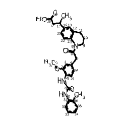 COc1cc(CC(=O)N2CCCc3cc(C(C)CC(=O)O)ccc32)ccc1NC(=O)Nc1ccccc1C